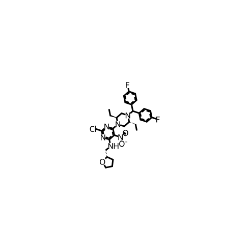 CC[C@H]1CN(C(c2ccc(F)cc2)c2ccc(F)cc2)[C@H](CC)CN1c1nc(Cl)nc(NC[C@@H]2CCCO2)c1[N+](=O)[O-]